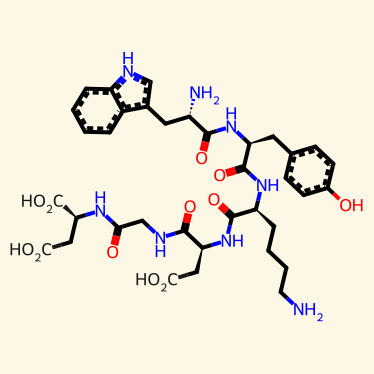 NCCCC[C@H](NC(=O)[C@H](Cc1ccc(O)cc1)NC(=O)[C@@H](N)Cc1c[nH]c2ccccc12)C(=O)N[C@@H](CC(=O)O)C(=O)NCC(=O)N[C@@H](CC(=O)O)C(=O)O